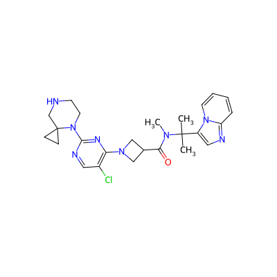 CN(C(=O)C1CN(c2nc(N3CCNCC34CC4)ncc2Cl)C1)C(C)(C)c1cnc2ccccn12